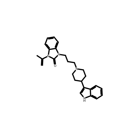 C=C(C)n1c(=O)n(CCCN2CCC(c3c[nH]c4ccccc34)CC2)c2ccccc21